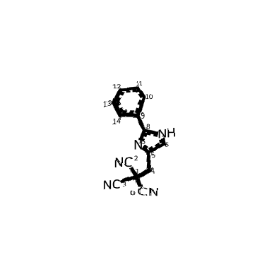 N#CC(C#N)(C#N)Cc1c[nH]c(-c2ccccc2)n1